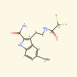 COc1ccc2[nH]c(C(N)=O)c(CCNC(=O)C(F)F)c2c1